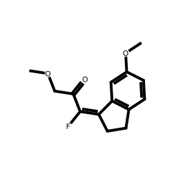 COCC(=O)/C(F)=C1/CCc2ccc(OC)cc21